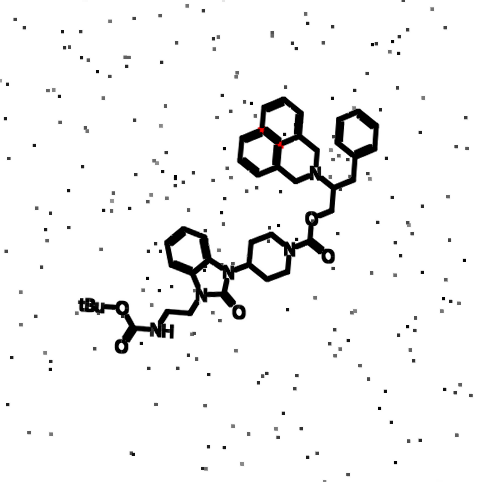 CC(C)(C)OC(=O)NCCn1c(=O)n(C2CCN(C(=O)OCC(Cc3ccccc3)N(Cc3ccccc3)Cc3ccccc3)CC2)c2ccccc21